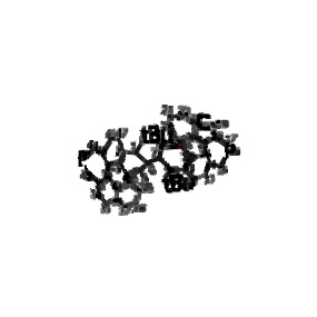 CC(C)(C)C1C2=C(C=CC1C1C=CC3=C(CC=C4C=PC=c5ccc6ccccc6c5=C43)C1C(C)(C)C)C1=c3c(ccc4ccccc34)=CP=CC1=CC2